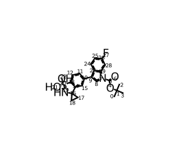 CC(C)(C)OC(=O)n1cc(-c2ccc3c(c2)C2(CC2)NS3(O)O)c2ccc(F)cc21